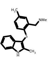 CNCc1cc(C)ccc1Sc1c(C)[nH]c2ccccc12